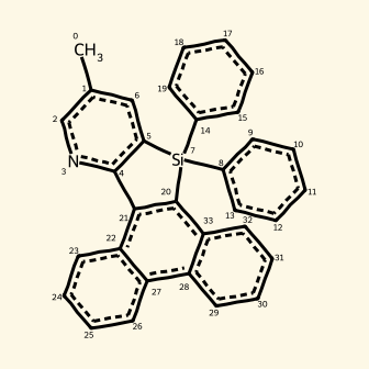 Cc1cnc2c(c1)[Si](c1ccccc1)(c1ccccc1)c1c-2c2ccccc2c2ccccc12